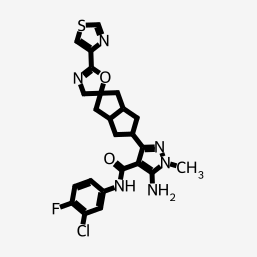 Cn1nc(C2CC3CC4(CN=C(c5cscn5)O4)CC3C2)c(C(=O)Nc2ccc(F)c(Cl)c2)c1N